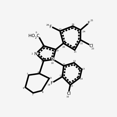 O=C(O)c1nc(C2CCCCC2)n(-c2cccc(Cl)c2F)c1-c1cc(Cl)c(F)cc1F